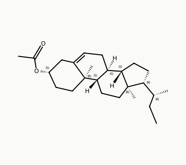 CC[C@@H](C)[C@H]1CC[C@H]2[C@@H]3CC=C4C[C@@H](OC(C)=O)CC[C@]4(C)[C@H]3CC[C@]12C